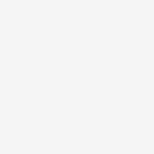 CCCCCCCCOC(=O)c1ccc(OCCOc2ccccc2)c(C(C)(C)C)c1